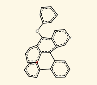 c1ccc(Oc2c3ccccc3c(-c3ccccc3-c3ccccc3)c3cnccc23)cc1